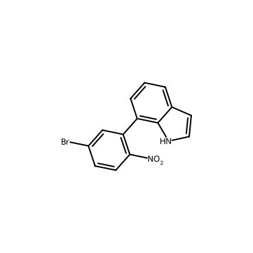 O=[N+]([O-])c1ccc(Br)cc1-c1cccc2cc[nH]c12